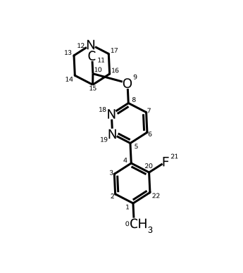 Cc1ccc(-c2ccc(OC3CN4CCC3CC4)nn2)c(F)c1